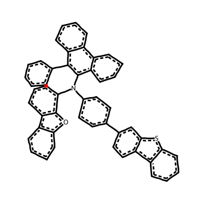 c1ccc(-c2c(N(c3ccc(-c4ccc5c(c4)sc4ccccc45)cc3)c3cccc4c3oc3ccccc34)c3ccccc3c3ccccc23)cc1